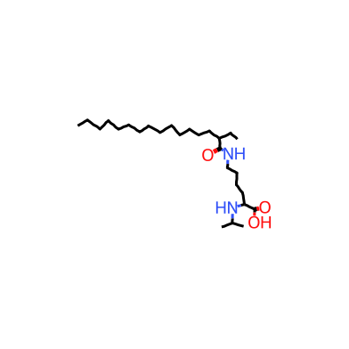 CCCCCCCCCCCCCCC(CC)C(=O)NCCCCC(NC(C)C)C(=O)O